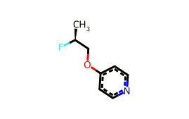 C[C@H](F)COc1ccncc1